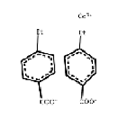 CCc1ccc(C(=O)[O-])cc1.CCc1ccc(C(=O)[O-])cc1.[Co+2]